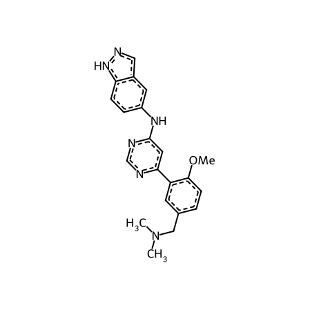 COc1ccc(CN(C)C)cc1-c1cc(Nc2ccc3[nH]ncc3c2)ncn1